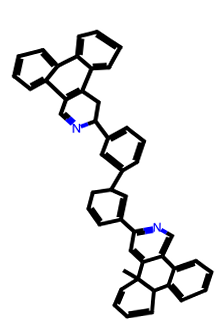 CC12C=CC=CC1c1ccccc1-c1cnc(C3=CC(c4cccc(C5Cc6c(c7ccccc7c7ccccc67)C=N5)c4)CC=C3)cc12